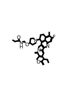 C=C1OCC2=C(C=C3c4nc5cc(F)c(C)c6c5c(c4CN3C2=C)C(N2CCC(OCNC(=O)CC)CC2)CC6)C1CC